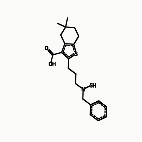 CC1(C)CCc2sc(CCCN(S)Cc3ccccc3)c(C(=O)O)c2C1